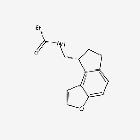 CCC(=O)NC[C@@H]1CCc2ccc3occc3c21